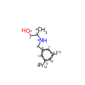 CC(CO)NCc1cc(F)cc(C(C)C)c1